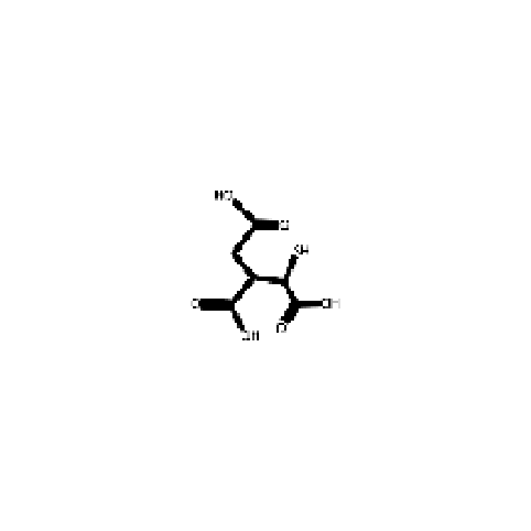 O=C(O)CC(C(=O)O)C(S)C(=O)O